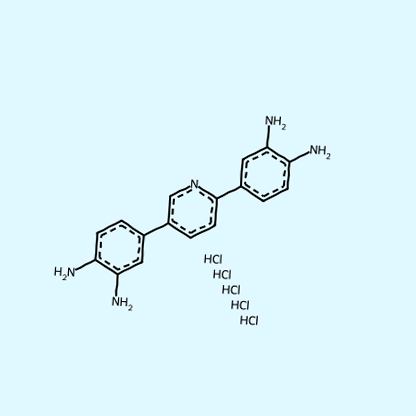 Cl.Cl.Cl.Cl.Cl.Nc1ccc(-c2ccc(-c3ccc(N)c(N)c3)nc2)cc1N